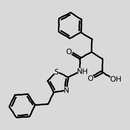 O=C(O)CC(Cc1ccccc1)C(=O)Nc1nc(Cc2ccccc2)cs1